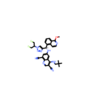 COc1nccc2c([C@H](Nc3cc(C#N)c4ncc(C#N)c(NCC(C)(C)C)c4c3)c3cn(C(CF)CF)nn3)cccc12